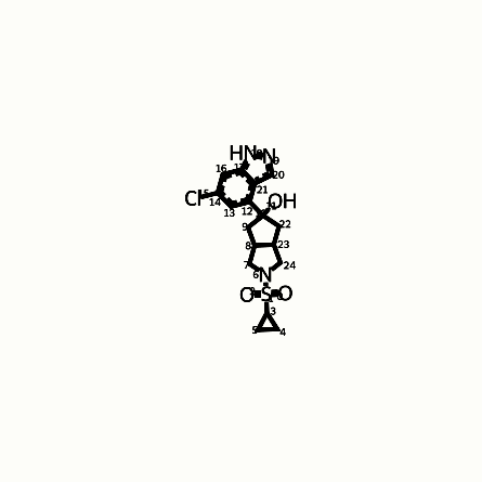 O=S(=O)(C1CC1)N1CC2CC(O)(c3cc(Cl)cc4[nH]ncc34)CC2C1